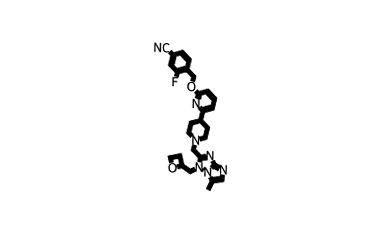 Cc1cnc2nc(CN3CCC(c4cccc(OCc5ccc(C#N)cc5F)n4)CC3)n(CC3CCO3)n12